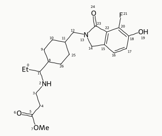 CCC(NCCC(=O)OC)C1CCC(CN2Cc3ccc(O)c(F)c3C2=O)CC1